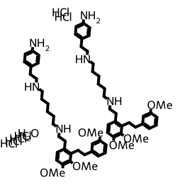 COc1cccc(CCc2c(CCNCCCCCCNCCc3ccc(N)cc3)ccc(OC)c2OC)c1.COc1cccc(CCc2c(CCNCCCCCCNCCc3ccc(N)cc3)ccc(OC)c2OC)c1.Cl.Cl.Cl.Cl.Cl.Cl.O